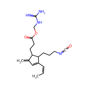 C=C1C=C(/C=C\C)C(CCCN=C=O)C1CCC(=O)OCNC(=N)N